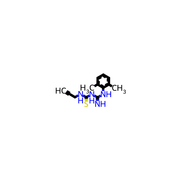 C#CCNC(=S)NC(=N)Nc1c(C)cccc1C